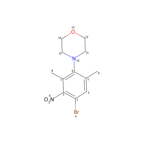 Cc1cc(Br)c([N+](=O)[O-])c(C)c1N1CCOCC1